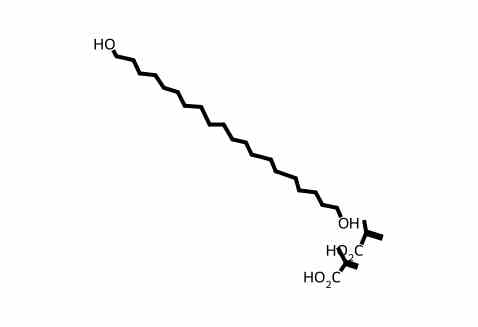 C=C(C)C(=O)O.C=C(C)C(=O)O.OCCCCCCCCCCCCCCCCCCCCO